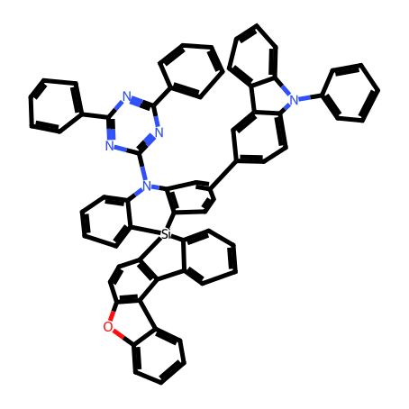 c1ccc(-c2nc(-c3ccccc3)nc(N3c4ccccc4[Si]4(c5ccccc5-c5c4ccc4oc6ccccc6c54)c4ccc(-c5ccc6c(c5)c5ccccc5n6-c5ccccc5)cc43)n2)cc1